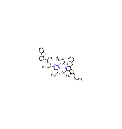 C=C/C=C\C=C/Cc1nc(C(C)C/C=C(\C)c2nc3c(c4s/c(=C/C=C\C)c(=C)c24)C=C2C=CC=CC2C3)cc(C(C=C)C/C=C(\C)c2cccc3c2sc2ccccc23)n1